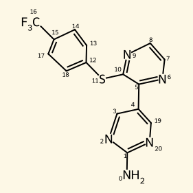 Nc1ncc(-c2nccnc2Sc2ccc(C(F)(F)F)cc2)cn1